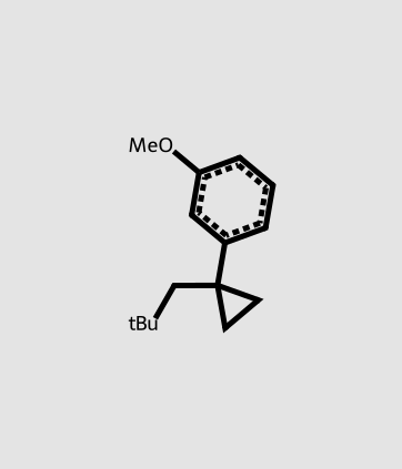 COc1cccc(C2(CC(C)(C)C)CC2)c1